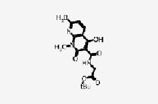 Bc1ccc2c(O)c(C(=O)NCC(=O)OC(C)(C)C)c(=O)n(C)c2n1